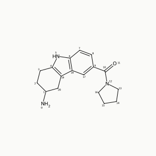 NC1CCc2[nH]c3ccc(C(=O)N4CCCC4)cc3c2C1